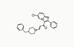 O=C(/C=C/N1CCC(Cc2ccccc2)CC1)c1c(-c2ccccc2)nc2ccc(Cl)cn12